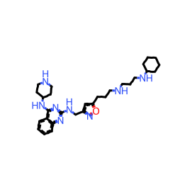 c1ccc2c(NC3CCNCC3)nc(NCc3cc(CCCNCCCNC4CCCCC4)on3)nc2c1